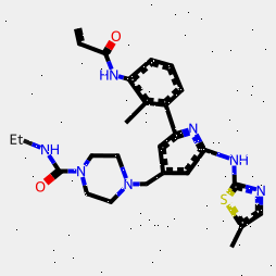 C=CC(=O)Nc1cccc(-c2cc(CN3CCN(C(=O)NCC)CC3)cc(Nc3ncc(C)s3)n2)c1C